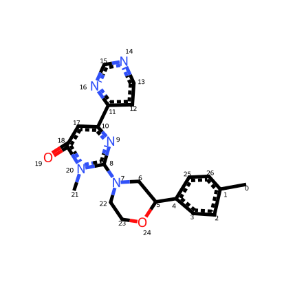 Cc1ccc(C2CN(c3nc(-c4ccncn4)cc(=O)n3C)CCO2)cc1